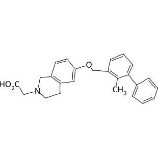 Cc1c(COc2ccc3c(c2)CCN(CC(=O)O)C3)cccc1-c1ccccc1